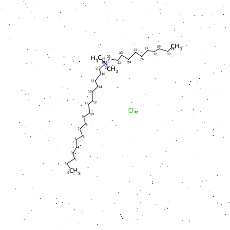 CCCCCCCCCCCCCCCCCC[N+](C)(C)CCCCCCCCCCC.[Cl-]